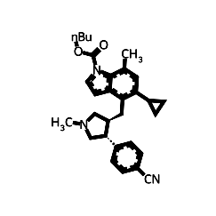 CCCCOC(=O)n1ccc2c(C[C@@H]3CN(C)C[C@H]3c3ccc(C#N)cc3)c(C3CC3)cc(C)c21